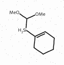 COC(OC)[SiH2]C1=CCCCC1